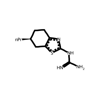 CCC[C@H]1CCc2nc(NC(=N)N)sc2C1